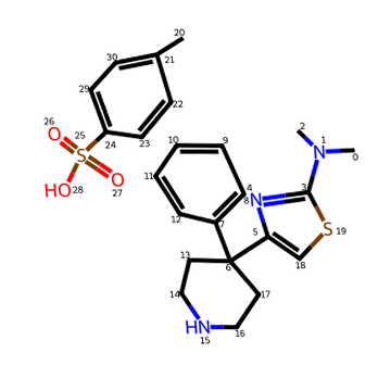 CN(C)c1nc(C2(c3ccccc3)CCNCC2)cs1.Cc1ccc(S(=O)(=O)O)cc1